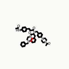 CC(=O)Nc1ccc(C=CC(=O)N(Cc2ccc(N3CCN(C(C)=O)CC3)cc2)C(Cc2ccccc2)C(=O)N2CCN(Cc3ccccc3)CC2)cc1